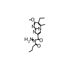 CCCC(=O)N(N)C(=O)c1cn2c(C)c(CC)c(OC)nc2n1